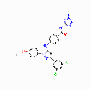 O=C(Nc1nn[nH]n1)c1ccc(Nc2cc(-c3cc(Cl)cc(Cl)c3)nn2-c2ccc(OC(F)(F)F)cc2)cc1